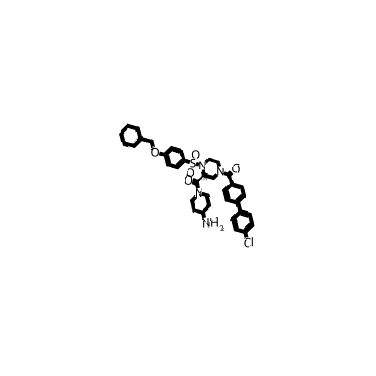 NC1CCN(C(=O)[C@@H]2CN(C(=O)c3ccc(-c4ccc(Cl)cc4)cc3)CCN2S(=O)(=O)c2ccc(OCC3CCCCC3)cc2)CC1